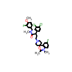 C=C1OC2(CCN(CCC(C(=O)N(C)Cc3ccc(OC)c(F)c3)c3ccc(Cl)c(Cl)c3)CC2)c2cc(F)ccc2N1C